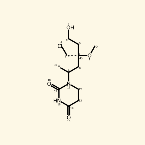 CO[C@](CCl)(CCO)CC(F)N1CCC(=O)NC1=O